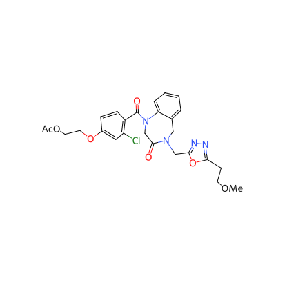 COCCc1nnc(CN2Cc3ccccc3N(C(=O)c3ccc(OCCOC(C)=O)cc3Cl)CC2=O)o1